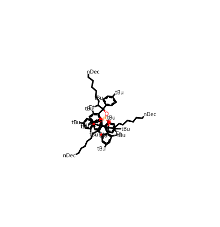 CCCCCCCCCCCCCCCCC(CC)C(OP(OC(c1ccc(C(C)(C)C)cc1C(C)(C)C)(c1ccc(C(C)(C)C)cc1C(C)(C)C)C(CC)CCCCCCCCCCCCCCCC)OC(c1ccc(C(C)(C)C)cc1C(C)(C)C)(c1ccc(C(C)(C)C)cc1C(C)(C)C)C(CC)CCCCCCCCCCCCCCCC)(c1ccc(C(C)(C)C)cc1C(C)(C)C)c1ccc(C(C)(C)C)cc1C(C)(C)C